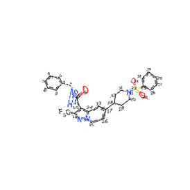 O=C(NCc1ccccc1)c1c(C(F)(F)F)nn2ccc(C3CCN(S(=O)(=O)c4ccccc4)CC3)cc12